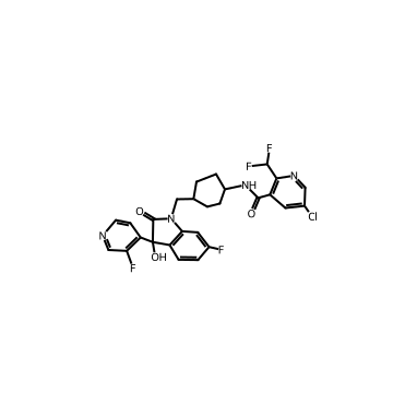 O=C(NC1CCC(CN2C(=O)C(O)(c3ccncc3F)c3ccc(F)cc32)CC1)c1cc(Cl)cnc1C(F)F